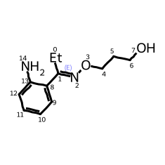 CC/C(=N\OCCCO)c1ccccc1N